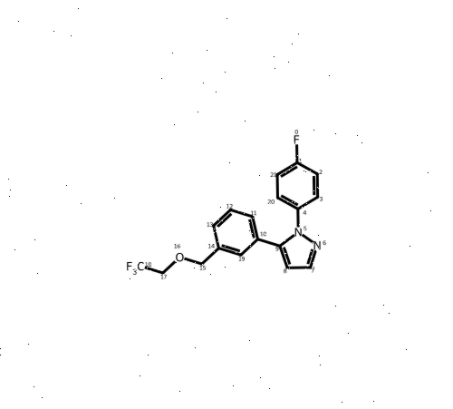 Fc1ccc(-n2n[c]cc2-c2cccc(COCC(F)(F)F)c2)cc1